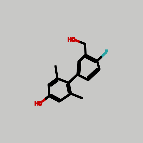 Cc1cc(O)cc(C)c1-c1ccc(F)c(CO)c1